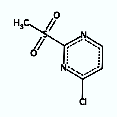 CS(=O)(=O)c1nccc(Cl)n1